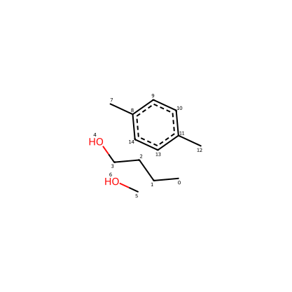 CCCCO.CO.Cc1ccc(C)cc1